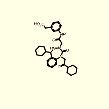 O=C(O)Cc1cccc(NC(=O)CN2NC(C3CCCCC3)c3ccccc3N(CC(=O)C3CCCCC3)C2=O)c1